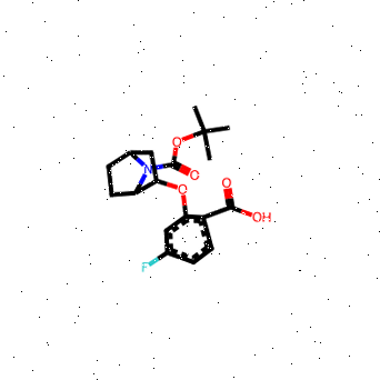 CC(C)(C)OC(=O)N1C2CCC1C(Oc1cc(F)ccc1C(=O)O)C2